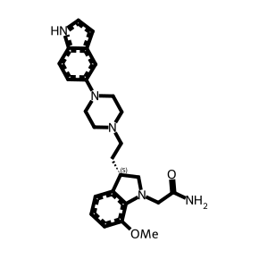 COc1cccc2c1N(CC(N)=O)C[C@H]2CCN1CCN(c2ccc3[nH]ccc3c2)CC1